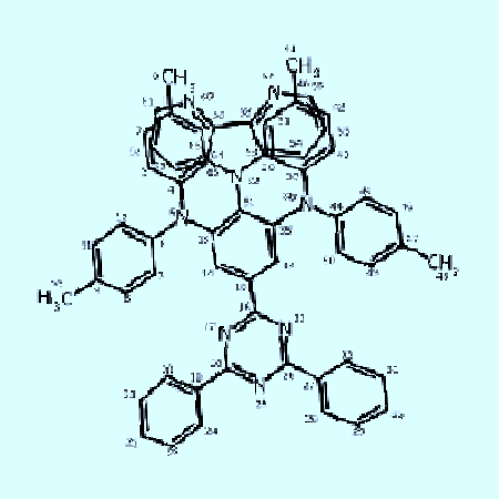 Cc1ccc(N(c2ccc(C)cc2)c2cc(-c3nc(-c4ccccc4)nc(-c4ccccc4)n3)cc(N(c3ccc(C)cc3)c3ccc(C)cc3)c2-n2c3cccnc3c3ncccc32)cc1